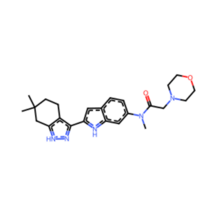 CN(C(=O)CN1CCOCC1)c1ccc2cc(-c3n[nH]c4c3CCC(C)(C)C4)[nH]c2c1